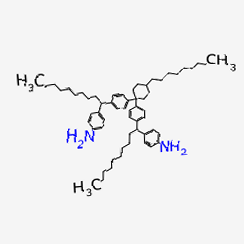 CCCCCCCCCC1CCC(c2ccc(C(CCCCCCCCC)c3ccc(N)cc3)cc2)(c2ccc(C(CCCCCCCCC)c3ccc(N)cc3)cc2)CC1